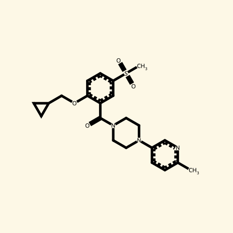 Cc1ccc(N2CCN(C(=O)c3cc(S(C)(=O)=O)ccc3OCC3CC3)CC2)cn1